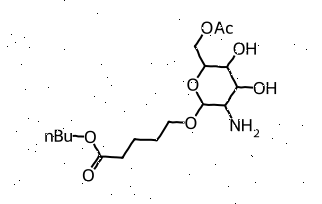 CCCCOC(=O)CCCCOC1OC(COC(C)=O)C(O)C(O)C1N